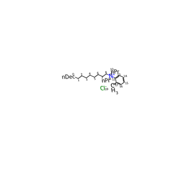 CCCCCCCCCCCCCCCCCC[N+](CCC)(CCC)c1ccccc1C.[Cl-]